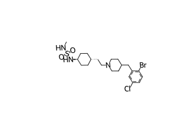 CNS(=O)(=O)N[C@H]1CC[C@H](CCN2CCC(Cc3cc(Cl)ccc3Br)CC2)CC1